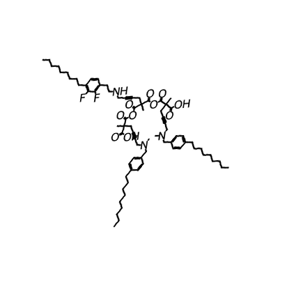 CCCCCCCCCc1ccc(CN(C)CC#CCC(C)(C(=O)O)C(=O)OC(=O)C(C)(CC#CCNCCc2ccc(CCCCCCCCC)c(F)c2F)C(=O)OC(=O)C(C)(CC#CCN(C)Cc2ccc(CCCCCCCCC)cc2)C(=O)O)cc1